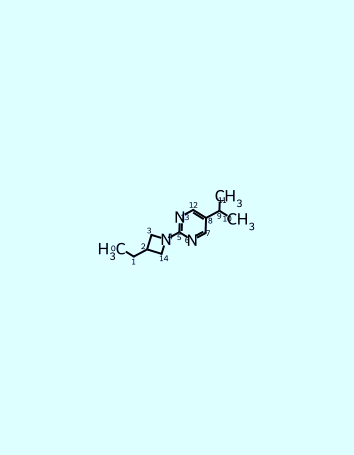 CCC1CN(c2ncc(C(C)C)cn2)C1